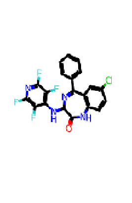 O=C1Nc2ccc(Cl)cc2C(c2ccccc2)=NC1Nc1c(F)c(F)nc(F)c1F